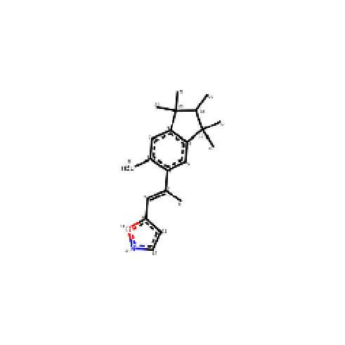 CCCCc1cc2c(cc1C(C)=Cc1ccno1)C(C)(C)C(C)C2(C)C